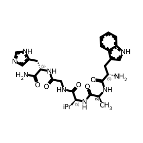 CC(C)[C@H](NC(=O)[C@H](C)NC(=O)[C@@H](N)Cc1c[nH]c2ccccc12)C(=O)NCC(=O)N[C@@H](Cc1cnc[nH]1)C(N)=O